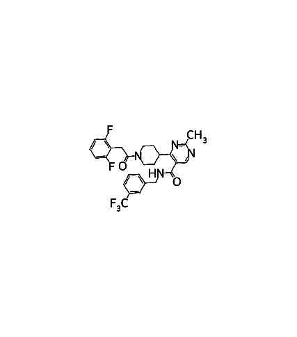 Cc1ncc(C(=O)NCc2cccc(C(F)(F)F)c2)c(C2CCN(C(=O)Cc3c(F)cccc3F)CC2)n1